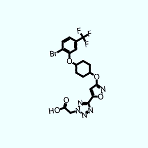 O=C(O)Cn1nnc(-c2cc(OC3CCC(Oc4cc(C(F)(F)F)ccc4Br)CC3)no2)n1